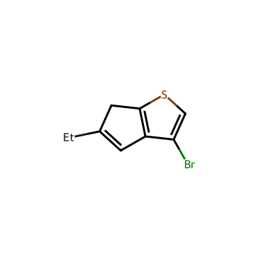 CCC1=Cc2c(Br)csc2C1